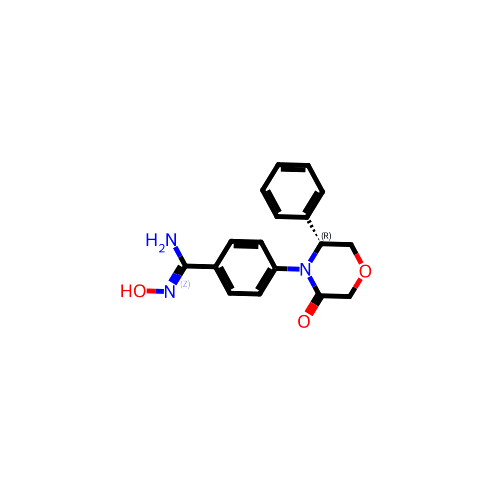 N/C(=N\O)c1ccc(N2C(=O)COC[C@H]2c2ccccc2)cc1